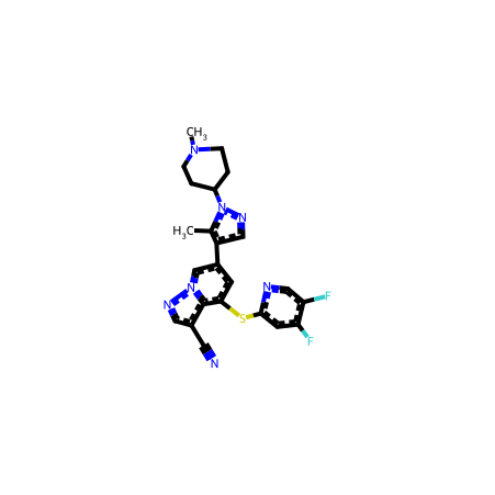 Cc1c(-c2cc(Sc3cc(F)c(F)cn3)c3c(C#N)cnn3c2)cnn1C1CCN(C)CC1